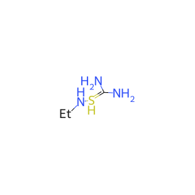 CCN[SH]=C(N)N